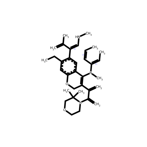 C=C(C(=C)N1CCOCC1(C)C)C1=C(N(C)C(/C=C\C)=C/C)c2cc(/C(=C/NC)C(=C)C)c(CC)cc2OC1